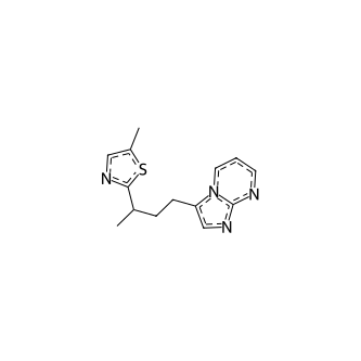 Cc1cnc(C(C)CCc2cnc3ncccn23)s1